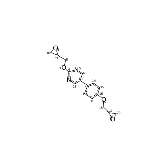 c1cc(-c2cnc(OCC3CO3)nc2)ccc1OCC1CO1